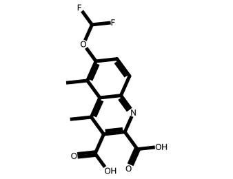 Cc1c(OC(F)F)ccc2nc(C(=O)O)c(C(=O)O)c(C)c12